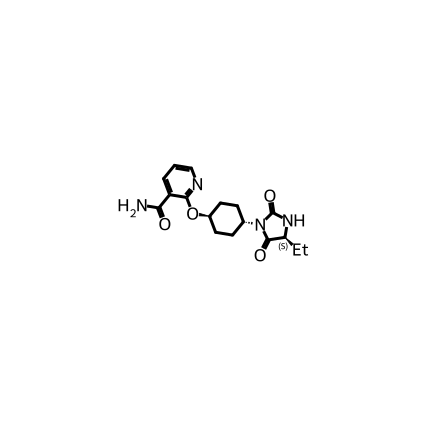 CC[C@@H]1NC(=O)N([C@H]2CC[C@H](Oc3ncccc3C(N)=O)CC2)C1=O